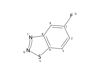 Fc1ccc2snnc2c1